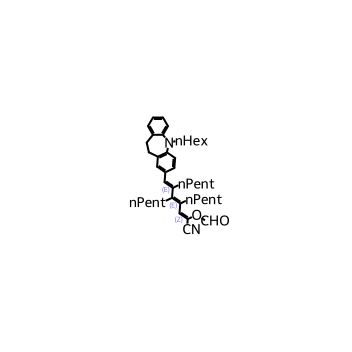 CCCCCCN1c2ccccc2CCc2cc(/C=C(CCCCC)/C(CCCCC)=C(/C=C(/C#N)OC=O)CCCCC)ccc21